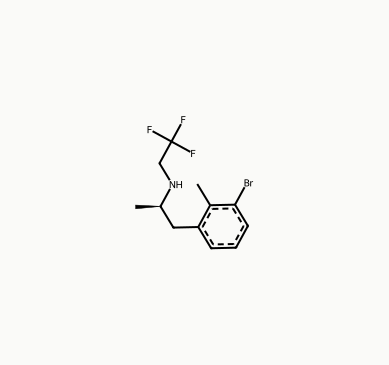 Cc1c(Br)cccc1C[C@@H](C)NCC(F)(F)F